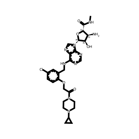 CNC(=O)[C@H]1O[C@@H](n2cnc3c(NCc4cc(Cl)ccc4OCC(=O)N4CCN(C5CC5)CC4)ncnc32)[C@H](O)[C@@H]1N